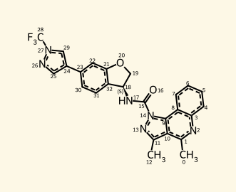 Cc1nc2ccccc2c2c1c(C)nn2C(=O)N[C@@H]1COc2cc(-c3cnn(C(F)(F)F)c3)ccc21